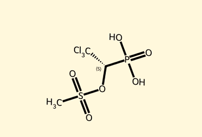 CS(=O)(=O)O[C@H](C(Cl)(Cl)Cl)P(=O)(O)O